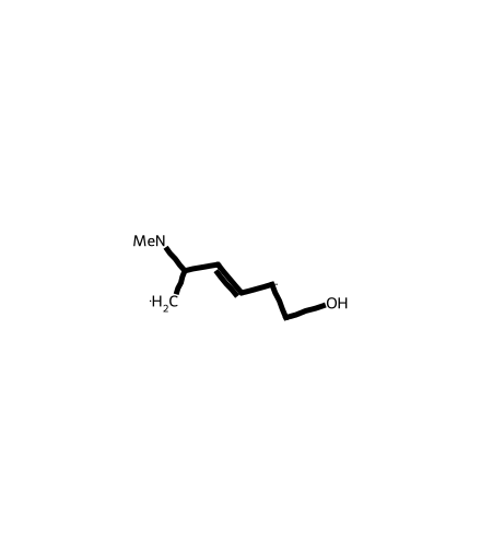 [CH2]C(C=C[CH]CO)NC